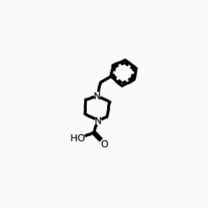 O=C(O)N1CCN(Cc2ccccc2)CC1